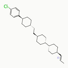 C/C=C/[C@H]1CC[C@H]([C@H]2CC[C@H](CC[C@H]3CC[C@H](c4ccc(Cl)cc4)CC3)CC2)CC1